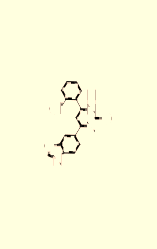 O=c1nc(-c2ccc3ncoc3c2)cc(-c2ccccc2Cl)[nH]1